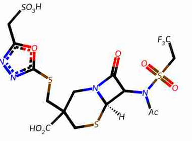 CC(=O)N(C1C(=O)N2CC(CSc3nnc(CS(=O)(=O)O)o3)(C(=O)O)CS[C@H]12)S(=O)(=O)CC(F)(F)F